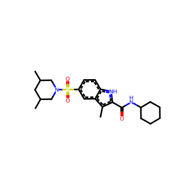 Cc1c(C(=O)NC2CCCCC2)[nH]c2ccc(S(=O)(=O)N3CC(C)CC(C)C3)cc12